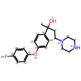 CC(O)(CCN1CCNCC1)c1ccc(Oc2ccc(F)cc2)cc1